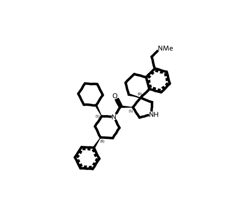 CNCc1cccc2c1CCC[C@]21CNC[C@H]1C(=O)N1CC[C@@H](c2ccccc2)C[C@H]1C1CCCCC1